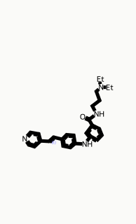 CCN(CC)CCCNC(=O)c1cccc(Nc2ccc(/C=C/c3ccncc3)cc2)c1